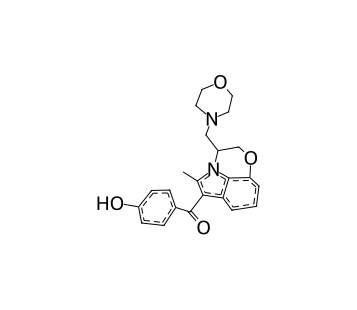 Cc1c(C(=O)c2ccc(O)cc2)c2cccc3c2n1C(CN1CCOCC1)CO3